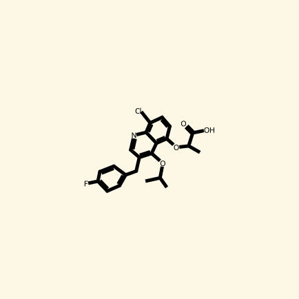 CC(C)Oc1c(Cc2ccc(F)cc2)cnc2c(Cl)ccc(OC(C)C(=O)O)c12